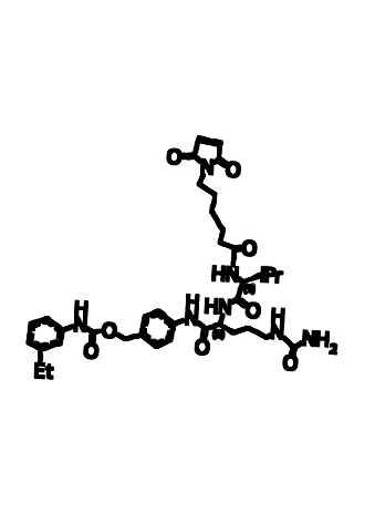 CCc1cccc(NC(=O)OCc2ccc(NC(=O)[C@H](CCCNC(N)=O)NC(=O)[C@@H](NC(=O)CCCCCN3C(=O)C=CC3=O)C(C)C)cc2)c1